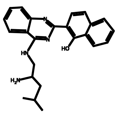 CC(C)CC(N)CNc1nc(-c2ccc3ccccc3c2O)nc2ccccc12